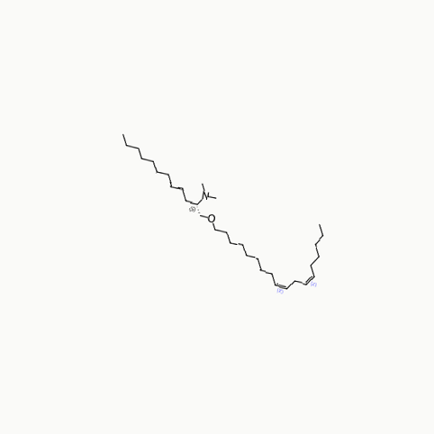 CCCCC/C=C\C/C=C\CCCCCCCCOC[C@H](CCCCCCCCCC)N(C)C